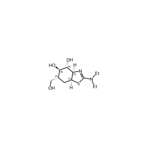 CCN(CC)C1=N[C@@H]2[C@@H](O)[C@H](O)[C@@H](CO)C[C@@H]2S1